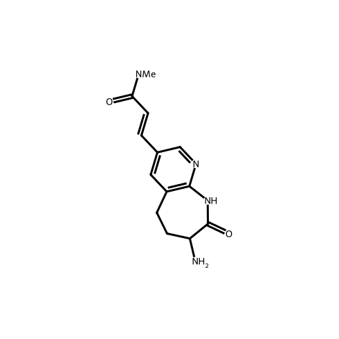 CNC(=O)C=Cc1cnc2c(c1)CCC(N)C(=O)N2